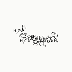 CC(C)c1cc(C(C)CC(C)(C)c2csc(C(C)CC(C)(C)c3coc(C(C)C)n3)n2)on1